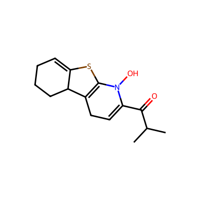 CC(C)C(=O)C1=CCC2=C(SC3=CCCCC32)N1O